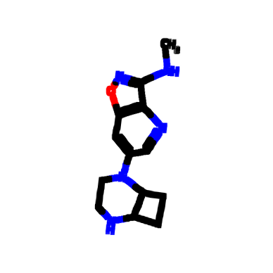 CNc1noc2cc(N3CCNC4CCC43)cnc12